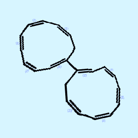 C1=C\C=C/C=C(\C2=C\C=C/C=C\C=C/C=C\C2)C/C=C\C=C/1